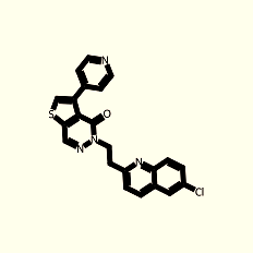 O=c1c2c(-c3ccncc3)csc2cnn1CCc1ccc2cc(Cl)ccc2n1